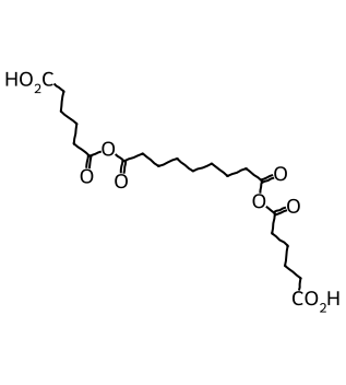 O=C(O)CCCCC(=O)OC(=O)CCCCCCCC(=O)OC(=O)CCCCC(=O)O